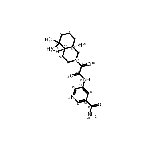 CC1(C)CCC[C@H]2CN(C(=O)C(=O)Nc3cncc(C(N)=O)c3)CC[C@@H]21